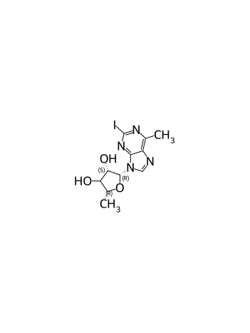 Cc1nc(I)nc2c1ncn2[C@@H]1O[C@H](C)C(O)[C@@H]1O